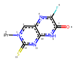 CC(C)n1cc2nc(F)c(=O)[nH]c2nc1=S